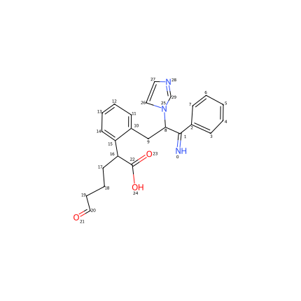 N=C(c1ccccc1)C(Cc1ccccc1C(CCCC=O)C(=O)O)n1ccnc1